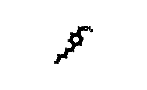 CCC1CCC(CCCCI)CC1